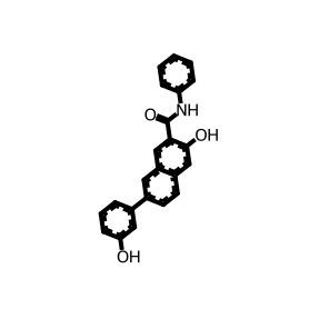 O=C(Nc1ccccc1)c1cc2cc(-c3cccc(O)c3)ccc2cc1O